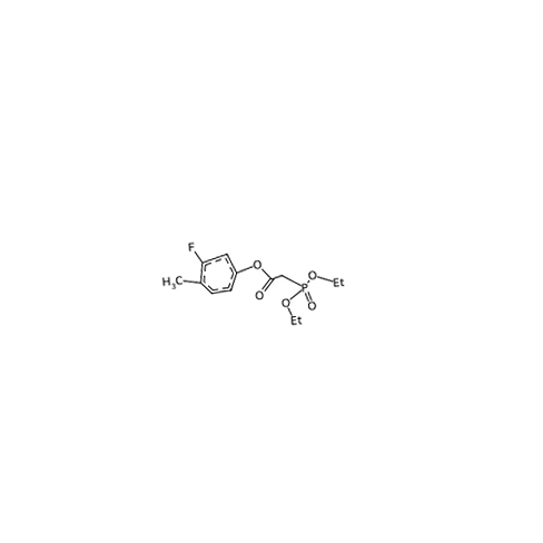 CCOP(=O)(CC(=O)Oc1ccc(C)c(F)c1)OCC